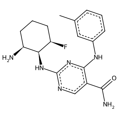 Cc1cccc(Nc2nc(N[C@@H]3[C@H](F)CCC[C@@H]3N)ncc2C(N)=O)c1